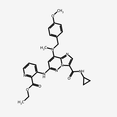 CCOC(=O)c1ncccc1Nc1cc(N(C)Cc2ccc(OC)cc2)c2ncc(C(=O)NC3CC3)n2n1